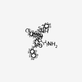 NCCCC[C@H]1C(=O)N(CCc2ccc3ccccc3c2)CCN1C(=O)[C@@H](Cc1ccc(Cl)cc1Cl)NC(=O)[C@@H]1CC[C@H](c2ccccc2)N1